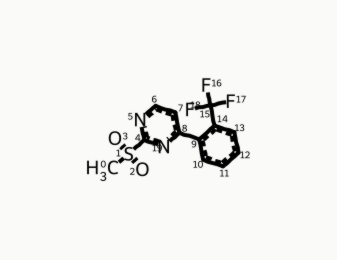 CS(=O)(=O)c1nccc(-c2ccccc2C(F)(F)F)n1